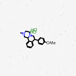 COc1ccc(C2CN3CCN(C)CC3c3ccccc32)cc1.Cl.Cl